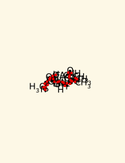 CC(=O)O[C@@H]1C[C@@H](C(=O)NCc2ccc(-c3scnc3C)cc2)N(C(=O)[C@@H](NC(=O)CNC(=O)c2ccc(F)c(-c3ccc(N4C[C@@H](C)N(C)[C@@H](C)C4)c(NC(=O)c4c[nH]c(=O)cc4C(F)(F)F)c3)c2)C(C)(C)C)C1